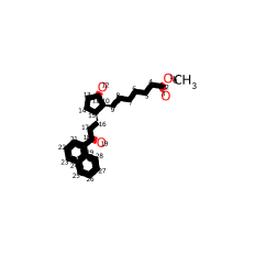 COC(=O)CCCCCC[C@@H]1C(=O)CC[C@H]1CCC(=O)c1cccc2ccccc12